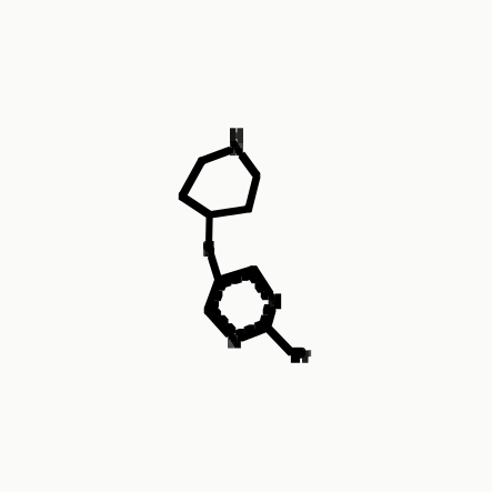 CC(C)c1ncc(SC2CCNCC2)cn1